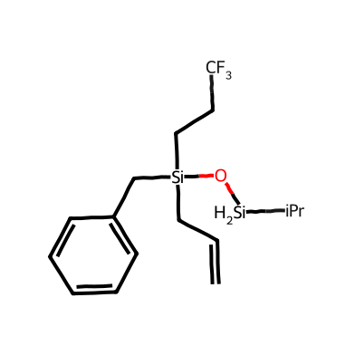 C=CC[Si](CCC(F)(F)F)(Cc1ccccc1)O[SiH2]C(C)C